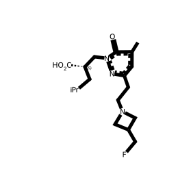 Cc1cc(CCN2CC(CF)C2)nn(C[C@H](CC(C)C)C(=O)O)c1=O